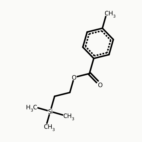 Cc1ccc(C(=O)OCC[Si](C)(C)C)cc1